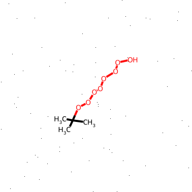 CC(C)(C)OOOOOOOO